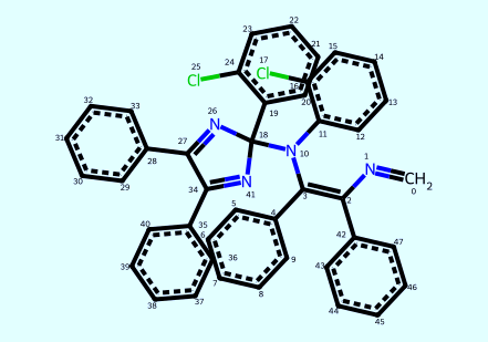 C=N/C(=C(/c1ccccc1)N(c1ccccc1Cl)C1(c2ccccc2Cl)N=C(c2ccccc2)C(c2ccccc2)=N1)c1ccccc1